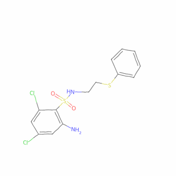 Nc1cc(Cl)cc(Cl)c1S(=O)(=O)NCCSc1ccccc1